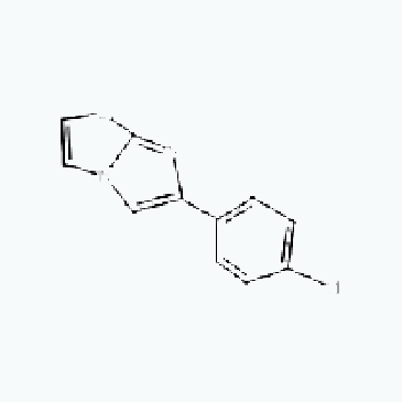 Clc1ccc(-c2cn3ccoc3n2)cc1